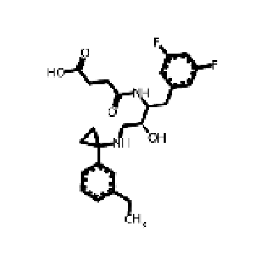 CCc1cccc(C2(NC[C@H](O)[C@H](Cc3cc(F)cc(F)c3)NC(=O)CCC(=O)O)CC2)c1